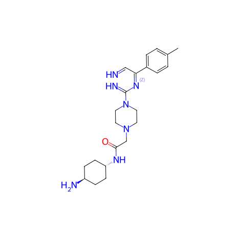 Cc1ccc(/C(C=N)=N/C(=N)N2CCN(CC(=O)N[C@H]3CC[C@H](N)CC3)CC2)cc1